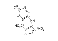 O=C(O)c1scc([N+](=O)[O-])c1Nc1ccc(Cl)cc1